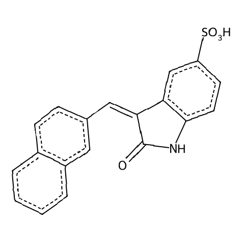 O=C1Nc2ccc(S(=O)(=O)O)cc2C1=Cc1ccc2ccccc2c1